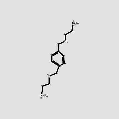 CNCCOCc1ccc(COCCNC(C)=O)cc1